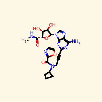 CNC(=O)[C@H]1O[C@@H](n2cnc3c(N)nc(C#CCN(C(=O)c4ncco4)C4CCC4)nc32)C(O)[C@@H]1O